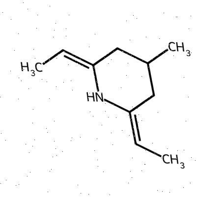 C/C=C1/CC(C)C/C(=C\C)N1